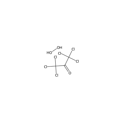 O=C(C(Cl)(Cl)Cl)C(Cl)(Cl)Cl.OO